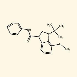 COc1cccc2c1P(C(C)(C)C)CN2C(=O)Nc1ccccc1